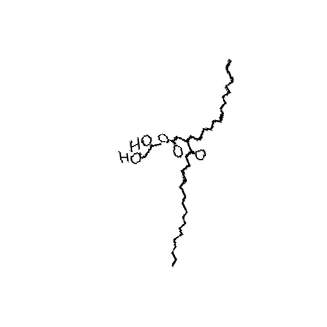 CCCCCCCC/C=C\CCCCCC(CC(=O)OCC(O)CO)C(=O)CCCCCCCCCCCCCCCCC